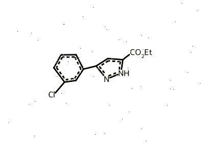 CCOC(=O)c1cc(-c2cccc(Cl)c2)n[nH]1